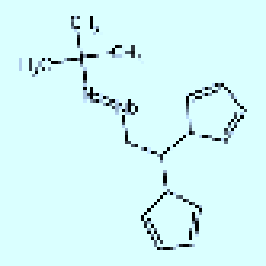 CC(C)(C)[N]=[Nb][CH2]C(C1C=CC=C1)C1C=CC=C1